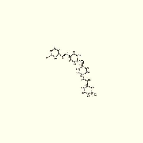 Cc1cccc(/C=C/c2ccc(Oc3ccc(/C=C/c4cccc(C)c4)cc3)cc2)c1